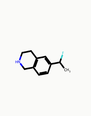 CC(F)c1ccc2c(c1)CCNC2